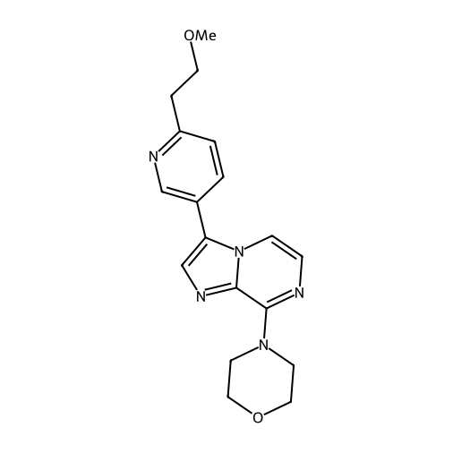 COCCc1ccc(-c2cnc3c(N4CCOCC4)nccn23)cn1